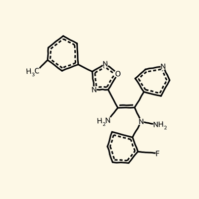 Cc1cccc(-c2noc(/C(N)=C(\c3ccncc3)N(N)c3ccccc3F)n2)c1